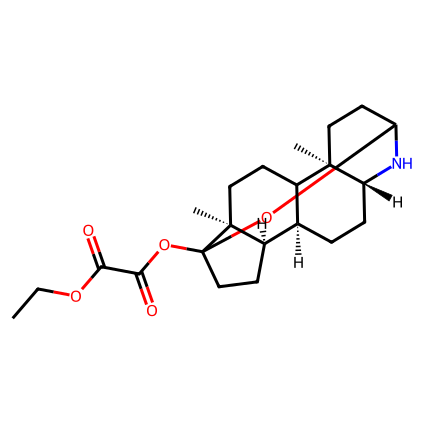 CCOC(=O)C(=O)OC12CC[C@@H]3[C@@H]4CC[C@H]5NC(CC[C@]5(C)C4CC[C@@]31C)O2